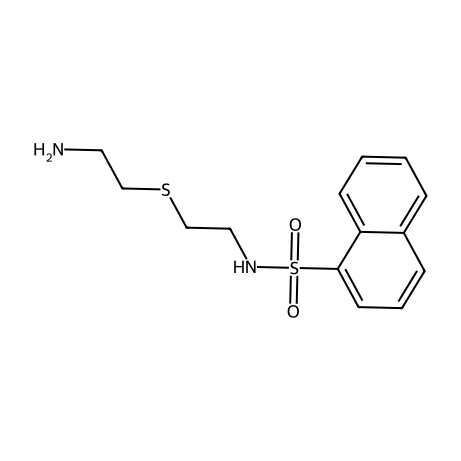 NCCSCCNS(=O)(=O)c1cccc2ccccc12